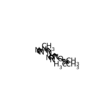 CN(c1cnccn1)[C@@H]1CCN(c2ncnc3c2ccn3COCC[Si](C)(C)C)C1